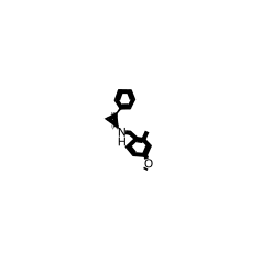 COc1ccc(CN[C@@H]2C[C@H]2c2ccccc2)c(C)c1